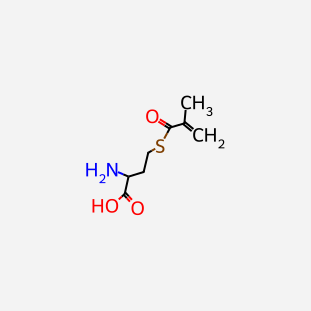 C=C(C)C(=O)SCCC(N)C(=O)O